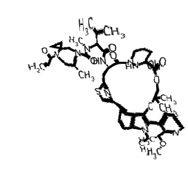 C=CC(=O)N1C[C@H](C)N(C(=O)N(C)[C@H](C(=O)N[C@H]2Cc3nc(cs3)-c3ccc4c(c3)c(c(-c3cccnc3[C@H](C)OC)n4CC)CC(C)(C)COC(=O)[C@@]3(O)CCCN(N3)C2=O)C(C)C)CC12CC2